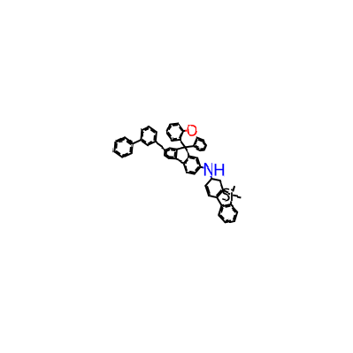 C[Si]1(C)C2=C(C=CC(Nc3ccc4c(c3)C3(c5ccccc5Oc5ccccc53)c3cc(-c5cccc(-c6ccccc6)c5)ccc3-4)C2)c2ccccc21